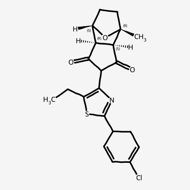 CCc1sc(C2C=CC(Cl)=CC2)nc1C1C(=O)[C@H]2[C@@H]3CC[C@@](C)(O3)[C@H]2C1=O